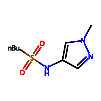 CCCCS(=O)(=O)Nc1cnn(C)c1